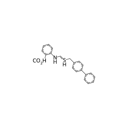 O=C(O)c1ccccc1NC=[SH]Cc1ccc(-c2ccccc2)cc1